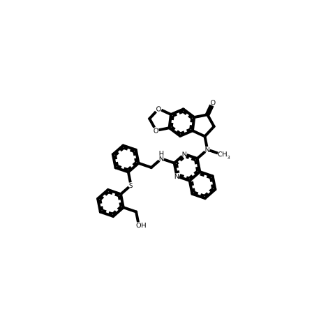 CN(c1nc(NCc2ccccc2Sc2ccccc2CO)nc2ccccc12)C1CC(=O)c2cc3c(cc21)OCO3